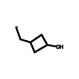 [CH2]CC1CC(O)C1